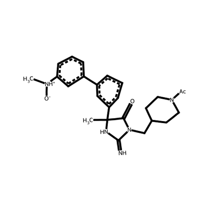 CC(=O)N1CCC(CN2C(=N)NC(C)(c3cccc(-c4cccc([NH+](C)[O-])c4)c3)C2=O)CC1